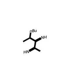 CCCCC(C)C(=N)C(C)=N